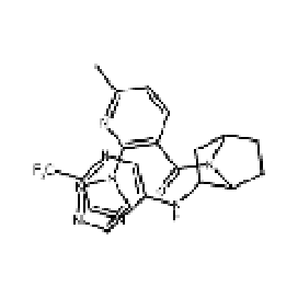 Cc1ccc(C(=O)N2C3CCC2C(Nc2cnc(C(F)(F)F)cn2)C3)c(-n2ccnn2)n1